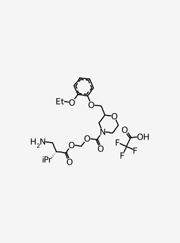 CCOc1ccccc1OCC1CN(C(=O)OCOC(=O)[C@@H](CN)C(C)C)CCO1.O=C(O)C(F)(F)F